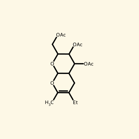 CCC1=C(C)OC2OC(COC(C)=O)C(OC(C)=O)C(OC(C)=O)C2C1